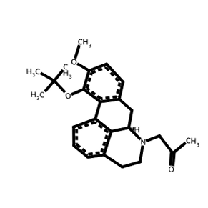 COc1ccc2c(c1OC(C)(C)C)-c1cccc3c1[C@@H](C2)N(CC(C)=O)CC3